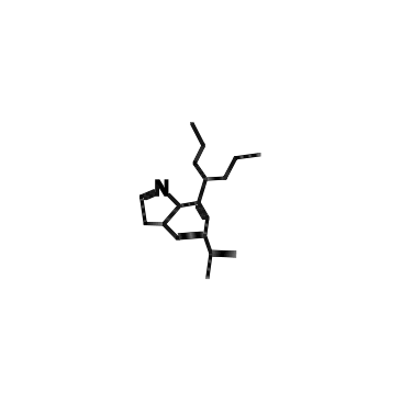 C=C(C)C1=CC2CC=NC2C(C(CCC)CCC)=C1